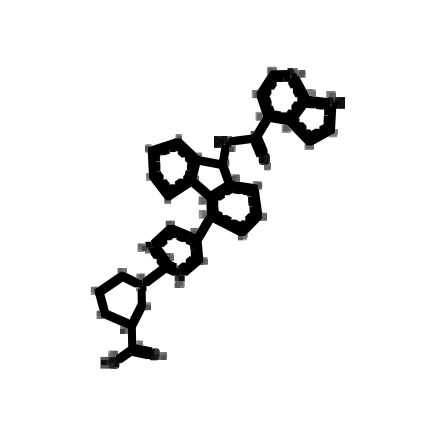 O=C(NC1c2ccccc2-c2c(-c3cnc(N4CCCC(C(=O)O)C4)nc3)cccc21)c1ccnc2[nH]ccc12